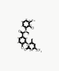 Cc1cc(C(F)(F)F)nc(=O)n1-c1cc(C(=O)N(C)c2cccc(F)c2Cl)ccc1Cl